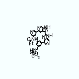 CCC(=O)Nc1cncc(-c2cc3c(-c4nc5c(-c6cc(F)cc(CNS(C)(=O)=O)c6)cncc5[nH]4)n[nH]c3cn2)c1